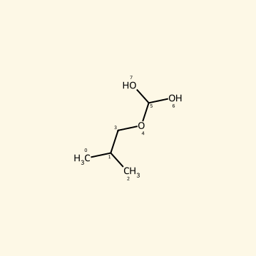 CC(C)COC(O)O